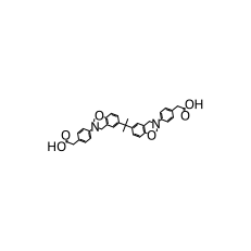 CC(C)(c1ccc2c(c1)CN(c1ccc(CC(=O)O)cc1)CO2)c1ccc2c(c1)CN(c1ccc(CC(=O)O)cc1)CO2